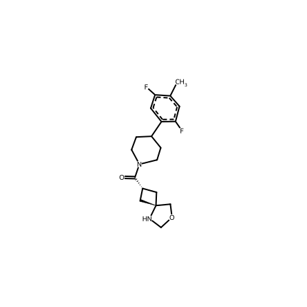 Cc1cc(F)c(C2CCN(C(=O)[C@H]3C[C@]4(COCN4)C3)CC2)cc1F